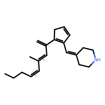 C=C(/C=C(C)/C=C\CCC)C1=C(C=C2CCNCC2)C=CC1